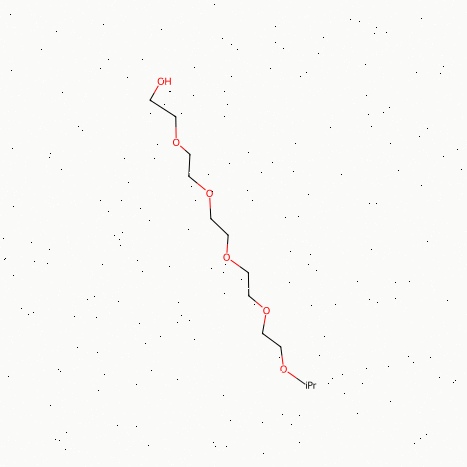 CC(C)OCCOCCOCCOCCOCCO